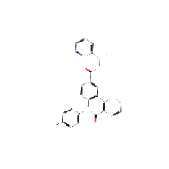 C[C@H](NC(=O)c1ccc2c(c1)c1c(c(=O)n2-c2ccc(C(F)(F)F)cc2)C=CCO1)c1ccccn1